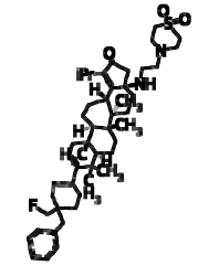 CC(C)C1=C2[C@H]3CC[C@@H]4[C@@]5(C)CC=C(C6=CCC(CF)(Cc7ccccc7)CC6)C(C)(C)[C@@H]5CC[C@@]4(C)[C@]3(C)CC[C@@]2(NCCN2CCS(=O)(=O)CC2)CC1=O